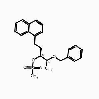 C[C@H](OCc1ccccc1)[C@H](CCc1cccc2ccccc12)OS(C)(=O)=O